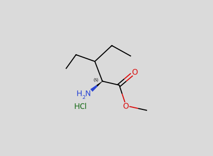 CCC(CC)[C@H](N)C(=O)OC.Cl